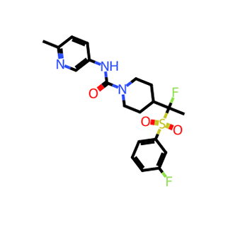 Cc1ccc(NC(=O)N2CCC(C(C)(F)S(=O)(=O)c3cccc(F)c3)CC2)cn1